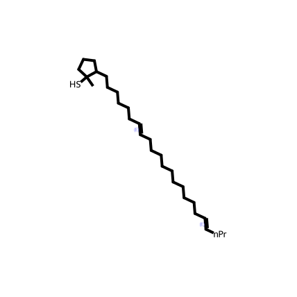 CCC/C=C/CCCCCCCCCC/C=C/CCCCCCC1CCCC1(C)S